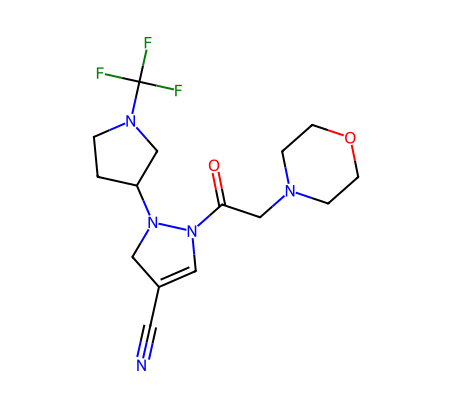 N#CC1=CN(C(=O)CN2CCOCC2)N(C2CCN(C(F)(F)F)C2)C1